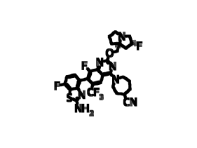 N#CC1CCCN(c2nc(OC[C@@]34CCCN3C[C@H](F)C4)nc3c(F)c(-c4ccc(F)c5sc(N)nc45)c(C(F)(F)F)cc23)CC1